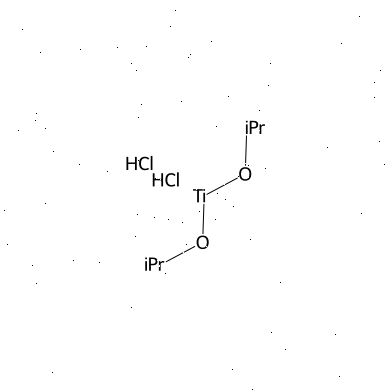 CC(C)[O][Ti][O]C(C)C.Cl.Cl